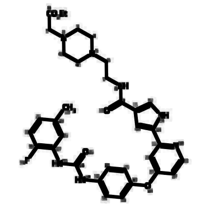 CCOC(=O)CN1CCN(CCNC(=O)c2c[nH]c(-c3cc(Oc4ccc(NC(=O)Nc5cc(C)ccc5F)cc4)ccn3)c2)CC1